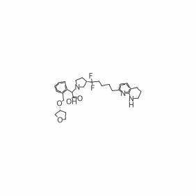 O=C(O)C(c1ccccc1CO[C@@H]1CCOC1)N1CC[C@@H](C(F)(F)CCCCc2ccc3c(n2)NCCC3)C1